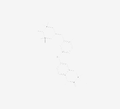 CCN1C(=O)C(C)(C)Oc2cc(Nc3ncc(F)c(NC4CC(C)(C)N(C)C(C)(C)C4)n3)cnc21